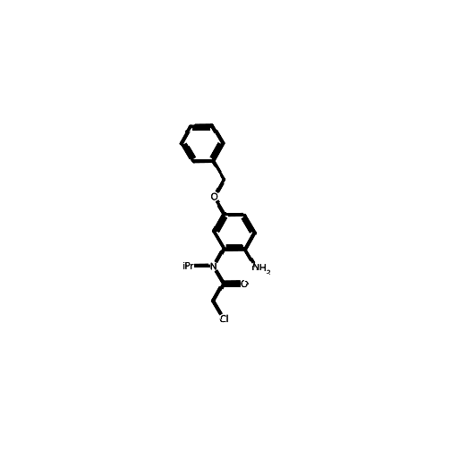 CC(C)N(C(=O)CCl)c1cc(OCc2ccccc2)ccc1N